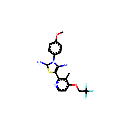 COc1ccc(N2C(N)=C(c3nccc(OCC(F)(F)F)c3C)SC2N)cc1